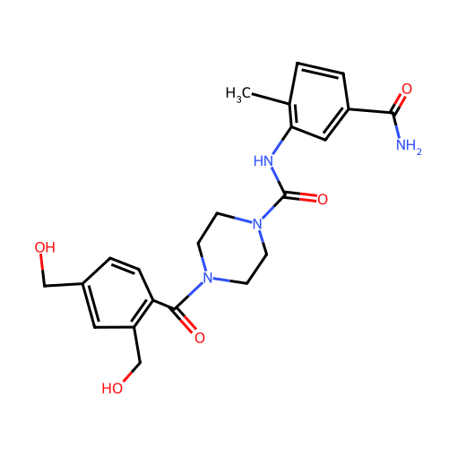 Cc1ccc(C(N)=O)cc1NC(=O)N1CCN(C(=O)c2ccc(CO)cc2CO)CC1